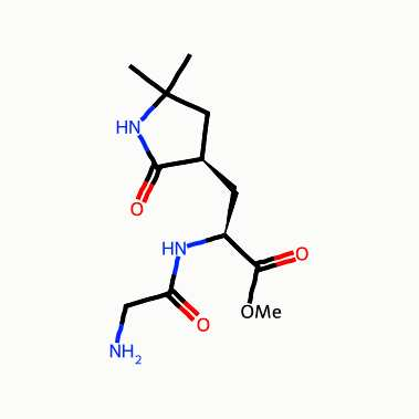 COC(=O)[C@H](C[C@@H]1CC(C)(C)NC1=O)NC(=O)CN